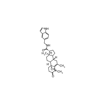 CC1=C2N(C)C(=O)CC[C@]2(C)[C@H]2CC[C@]3(C)[C@@H](C(=O)NCc4ccc5[nH]ccc5c4)CC[C@H]3[C@@H]2C1